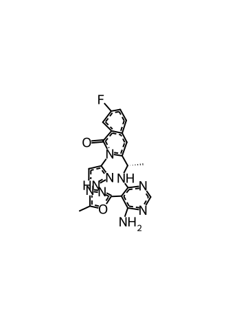 Cc1nnc(-c2c(N)ncnc2N[C@@H](C)c2cc3ccc(F)cc3c(=O)n2-c2cc[nH]n2)o1